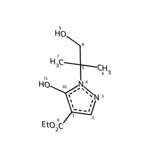 CCOC(=O)c1cnn(C(C)(C)CO)c1O